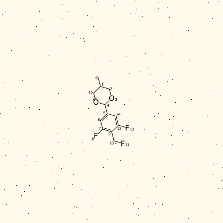 CC1COC(c2cc(F)c(CF)c(F)c2)OC1